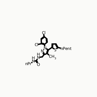 CCCCCc1ccc(-c2c(C)c(CNC(=O)NCCC)nn2-c2ccc(Cl)cc2Cl)s1